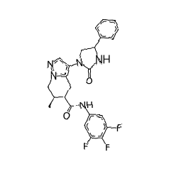 C[C@H]1Cn2ncc(N3CC(c4ccccc4)NC3=O)c2CC1C(=O)Nc1cc(F)c(F)c(F)c1